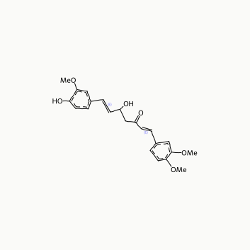 COc1cc(/C=C/C(O)CC(=O)/C=C/c2ccc(OC)c(OC)c2)ccc1O